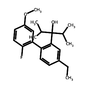 CCc1ccc(-c2cc(OC)ccc2F)c(C(O)(C(C)C)C(C)C)c1